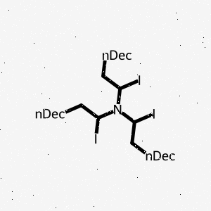 CCCCCCCCCCCC(I)N(C(I)CCCCCCCCCCC)C(I)CCCCCCCCCCC